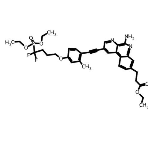 CCOC(=O)CCc1ccc2c(c1)nc(N)c1ncc(C#Cc3ccc(OCCCC(F)(F)P(=O)(OCC)OCC)cc3C)cc12